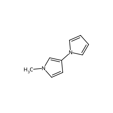 Cn1ccc(-n2cccc2)c1